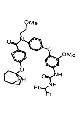 CCC(CC)NC(=O)Nc1ccc(Oc2ccc(N(CCOC)C(=O)c3ccc(OC45CCCC(CC4)N5)cc3)cc2)c(OC)c1